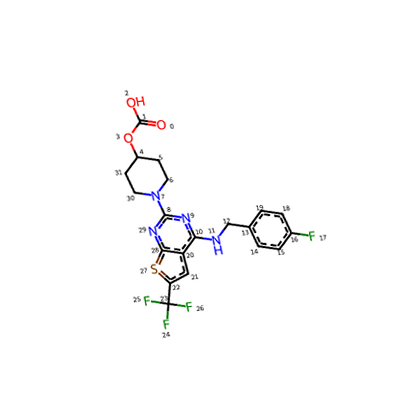 O=C(O)OC1CCN(c2nc(NCc3ccc(F)cc3)c3cc(C(F)(F)F)sc3n2)CC1